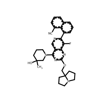 CC1(O)CCCN(c2nc(OCC34CCCN3CCC4)nc3c(F)c(-c4cccc5cccc(C#N)c45)ncc23)C1